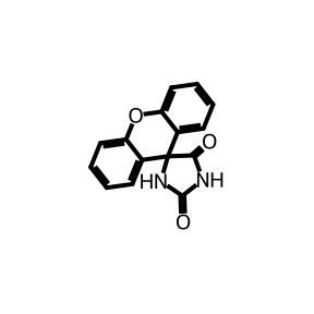 O=C1NC(=O)C2(N1)c1ccccc1Oc1ccccc12